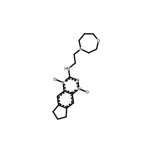 [O-][n+]1nc(NCCN2CCCOCC2)[n+]([O-])c2cc3c(cc21)CCC3